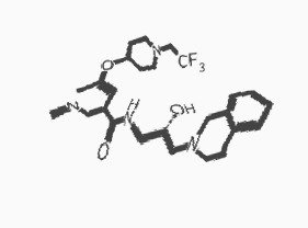 C=N/C=C(\C=C(/C)OC1CCN(CC(F)(F)F)CC1)C(=O)NC[C@H](O)CN1CCc2ccccc2C1